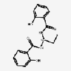 C[CH2][Co]([NH]C(=O)c1ccccc1O)[NH]C(=O)c1ccccc1O